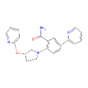 NC(=O)c1cc(-c2ccccn2)ccc1N1CCC(Oc2ccccn2)C1